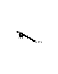 CCCCCCC=CCCCCCCCc1cc(O)cc(O)c1